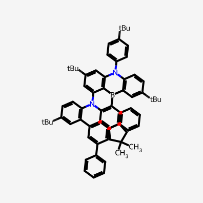 CC1(C)Cc2cc3c(cc2C1)N(c1ccc(C(C)(C)C)cc1-c1cc(-c2ccccc2)cc(-c2ccccc2)c1)c1cc(C(C)(C)C)cc2c1B3c1cc(C(C)(C)C)ccc1N2c1ccc(C(C)(C)C)cc1